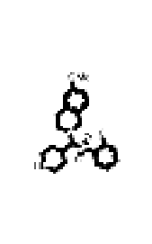 COc1ccc2c(c1)CCN(C(C1CCNCC1)S(=O)(=O)c1ccccc1Cl)C2